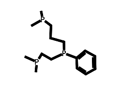 CP(C)CCCP(CCP(C)C)c1ccccc1